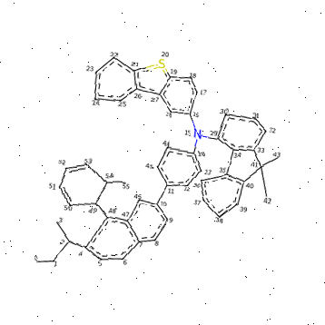 CCC(C)c1ccc2ccc(-c3ccc(N(c4ccc5sc6ccccc6c5c4)c4cccc5c4-c4ccccc4C5(C)C)cc3)cc2c1C1C=CC=CC1C